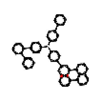 c1ccc(-c2ccc(N(c3ccc(-c4cccc(-c5cccc6cccc(-c7ccccc7)c56)c4)cc3)c3ccc(-c4ccccc4-c4ccccc4)cc3)cc2)cc1